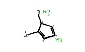 CCC1=CC=C[CH]1[Ti].Cl.Cl